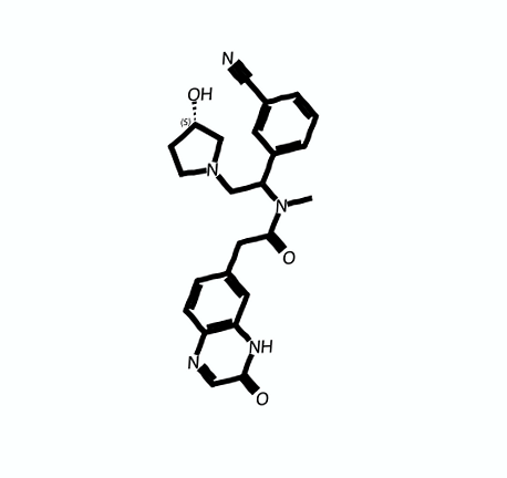 CN(C(=O)Cc1ccc2ncc(=O)[nH]c2c1)C(CN1CC[C@H](O)C1)c1cccc(C#N)c1